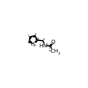 CC(=O)NCc1cc[c]s1